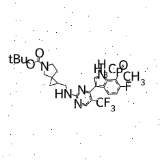 CC(C)(C)OC(=O)N1CCC2(CC2CNc2ncc(C(F)(F)F)c(-c3c[nH]c4c(P(C)(C)=O)c(F)ccc34)n2)C1